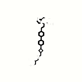 C[C@H](O)c1nccn1[C@@H](/C=C/c1ccc(-c2ccc(C3CC(CNCC(O)CO)C3)cc2)cc1)CO